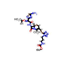 CCC(ON=C(C(=O)NC1C(=O)N2C(C(=O)O)=C(CSc3nnnn3CCCNC(=O)OC(C)(C)C)CS[C@@H]12)c1nsc(N)n1)C(=O)O